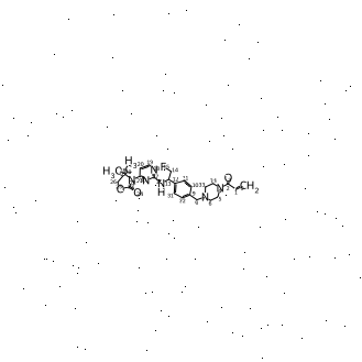 C=CC(=O)N1CCN(Cc2ccc(C(CF)Nc3nccc(N4C(=O)OCC4(C)C)n3)cc2)CC1